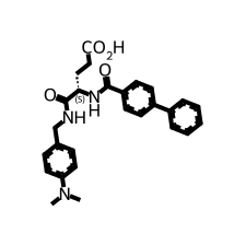 CN(C)c1ccc(CNC(=O)[C@H](CCC(=O)O)NC(=O)c2ccc(-c3ccccc3)cc2)cc1